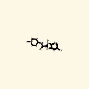 CN1CCC(NC(=O)c2nc3cc(Br)cnc3[nH]2)CC1